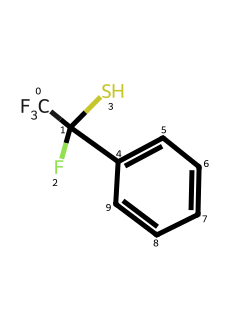 FC(F)(F)C(F)(S)c1ccccc1